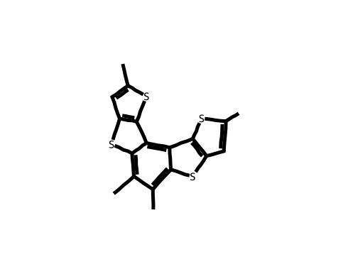 Cc1cc2sc3c(C)c(C)c4sc5cc(C)sc5c4c3c2s1